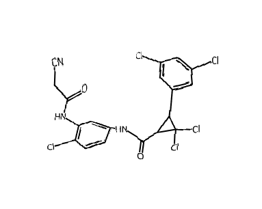 N#CCC(=O)Nc1cc(NC(=O)C2C(c3cc(Cl)cc(Cl)c3)C2(Cl)Cl)ccc1Cl